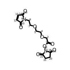 O=C(COCCOCCN1C(=O)C=CC1=O)ON1C(=O)CCC1=O